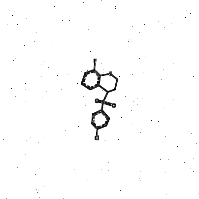 O=S(=O)(c1ccc(Cl)cc1)C1CCSc2c(F)cccc21